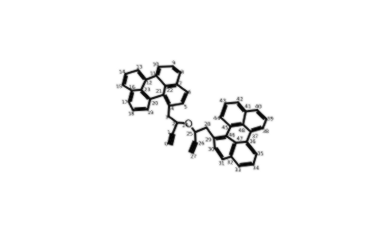 C#CC(Cc1ccc2cccc3c4cccc5cccc(c1c23)c54)OC(C#C)Cc1ccc2cccc3c4cccc5cccc(c1c23)c54